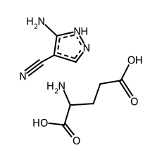 N#Cc1cn[nH]c1N.NC(CCC(=O)O)C(=O)O